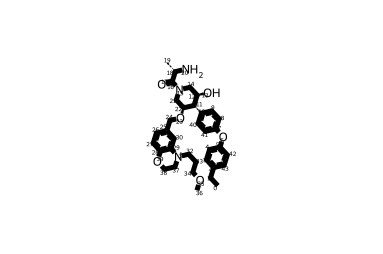 CCc1ccc(Oc2ccc([C@H]3[C@H](O)CN(C(=O)[C@H](C)N)C[C@@H]3OCc3ccc4c(c3)N(CCCOC)CCO4)cc2)cc1